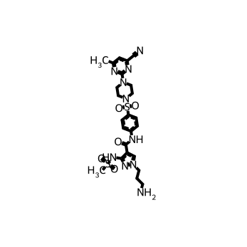 Cc1cc(C#N)nc(N2CCN(S(=O)(=O)c3ccc(NC(=O)c4cn(CCCN)nc4NS(C)(=O)=O)cc3)CC2)n1